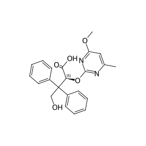 COc1cc(C)nc(O[C@H](C(=O)O)C(CO)(c2ccccc2)c2ccccc2)n1